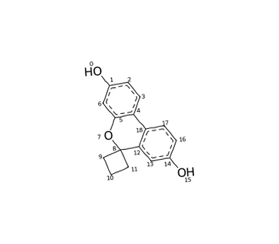 Oc1ccc2c(c1)OC1(CCC1)c1cc(O)ccc1-2